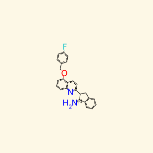 N[C@H]1c2ccccc2CC1c1ccc2c(OCc3ccc(F)cc3)cccc2n1